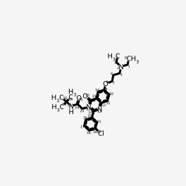 CCN(CC)CCCOc1ccc2nc(-c3cccc(Cl)c3)n(CC(=O)NC(C)(C)C)c(=O)c2c1